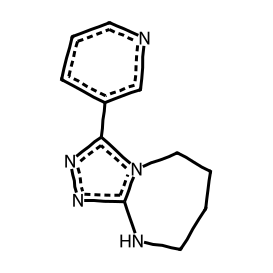 c1cncc(-c2nnc3n2CCCCN3)c1